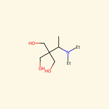 CCN(CC)C(C)C(CO)(CO)CO